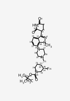 Cn1nc(C2CCC(=O)NC2=O)c2cccc(N3CCN(C[C@H]4CCN(C(=O)OC(C)(C)C)C[C@@H]4F)CC3)c21